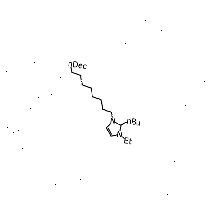 CCCCCCCCCCCCCCCCCCN1C=CN(CC)C1CCCC